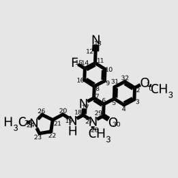 COc1ccc(-c2c(-c3ccc(C#N)c(F)c3)nc(NCC3CCN(C)C3)n(C)c2=O)cc1